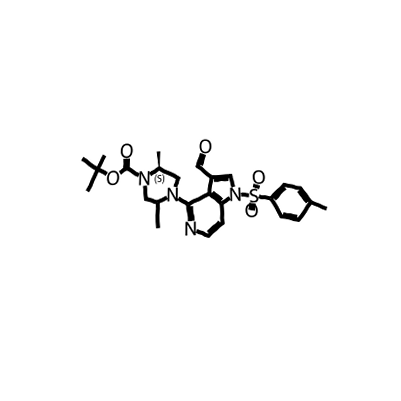 Cc1ccc(S(=O)(=O)n2cc(C=O)c3c(N4C[C@H](C)N(C(=O)OC(C)(C)C)CC4C)nccc32)cc1